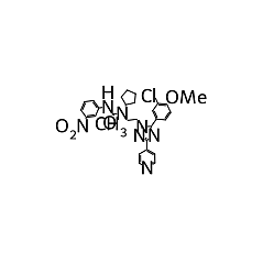 COc1ccc(-c2nc(-c3ccncc3)nn2CCN(C(=O)Nc2cccc([N+](=O)[O-])c2C)C2CCCC2)cc1Cl